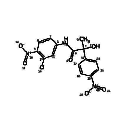 CC(O)(C(=O)Nc1ccc([N+](=O)[O-])c(Cl)c1)c1ccc([N+](=O)[O-])cc1